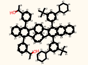 CC(O)c1cccc(-c2c3c(c(-c4cccc(C(C)O)c4)c4ccccc24)-c2ccc4c5c(ccc-3c25)-c2c-4c(-c3cc(C4CCCCC4)cc(C(C)(C)C)c3)c3cc4ccccc4cc3c2-c2cc(C3CCCCC3)cc(C(C)(C)C)c2)c1